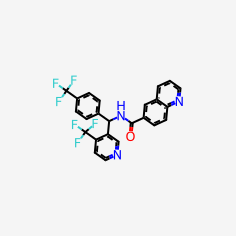 O=C(NC(c1ccc(C(F)(F)F)cc1)c1cnccc1C(F)(F)F)c1ccc2ncccc2c1